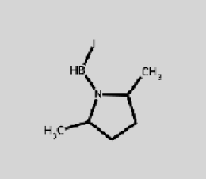 CC1CCC(C)N1BI